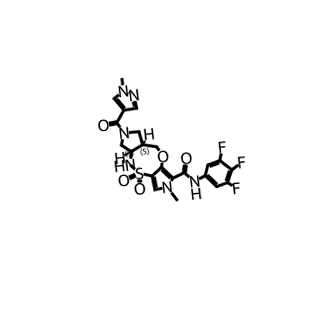 Cn1cc(C(=O)N2C[C@@H]3COc4c(cn(C)c4C(=O)Nc4cc(F)c(F)c(F)c4)S(=O)(=O)N[C@@H]3C2)cn1